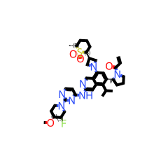 C=CC(=O)N1CCC[C@@H]1c1cc(N2CC([C@@H]3CCC[C@@H](C)S3(=O)=O)C2)c2cnc(Nc3ccnc(N4CC[C@@H](OC)[C@@H](F)C4)n3)cc2c1C(C)C